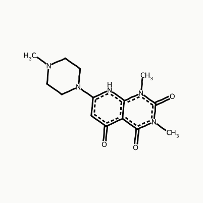 CN1CCN(c2cc(=O)c3c(=O)n(C)c(=O)n(C)c3[nH]2)CC1